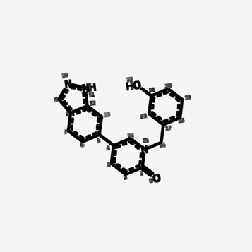 O=c1ccc(-c2ccc3cn[nH]c3c2)cn1Cc1cccc(O)c1